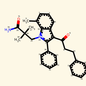 Cc1cccc2c(C(=O)CCc3ccccc3)c(-c3ccccc3)n(CC(C)(C)C(N)=O)c12